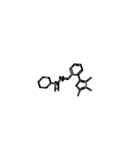 CC1=C(C)C(C)=C(c2ccccc2/C=N/NC2CCCCC2)C1